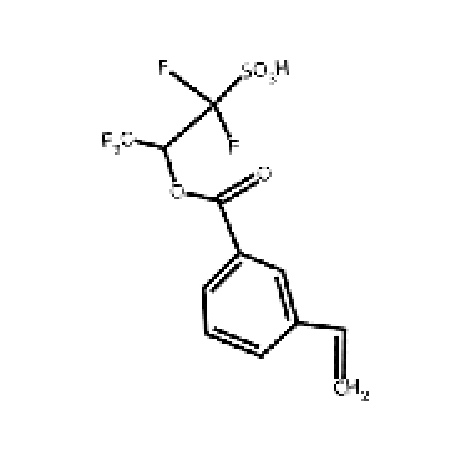 C=Cc1cccc(C(=O)OC(C(F)(F)F)C(F)(F)S(=O)(=O)O)c1